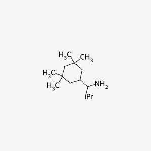 CC(C)C(N)C1CC(C)(C)CC(C)(C)C1